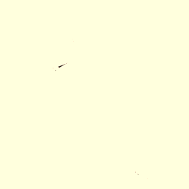 CC(C)C(=O)[C@H](N)CCCCCCN